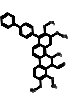 COc1ccc2c(c1OC)C(C=O)N(C)c1c-2ccc2c(-c3ccc(-c4ccccc4)cc3)c(OC)c(OC)cc12